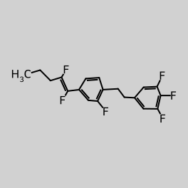 CCCC(F)=C(F)c1ccc(CCc2cc(F)c(F)c(F)c2)c(F)c1